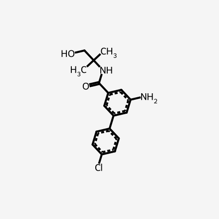 CC(C)(CO)NC(=O)c1cc(N)cc(-c2ccc(Cl)cc2)c1